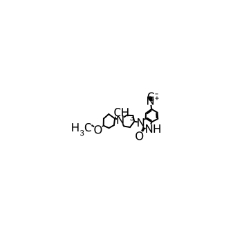 [C-]#[N+]c1ccc2[nH]c(=O)n(C3CCN([C@]4(C)CC[C@@H](OCC)CC4)CC3)c2c1